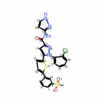 CS(=O)(=O)c1cccc(-c2ccc(-c3cc(C(=O)Nc4cc[nH]n4)nn3-c3ccccc3Cl)s2)c1